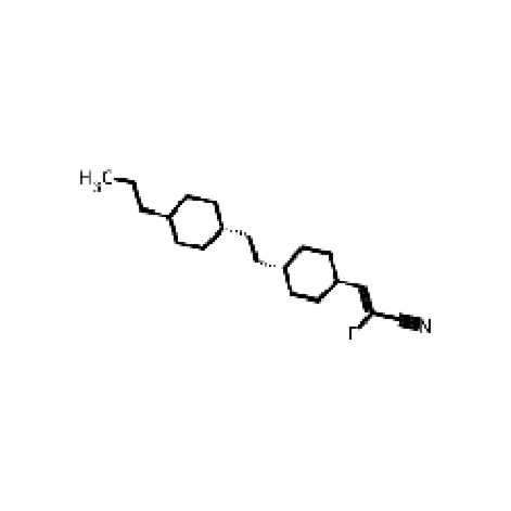 CCC[C@H]1CC[C@H](CC[C@H]2CC[C@H](C=C(F)C#N)CC2)CC1